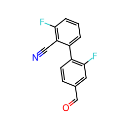 N#Cc1c(F)cccc1-c1ccc(C=O)cc1F